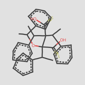 CC(OC(C(O)=S)(C(C)c1ccccc1)C(C(O)=S)(C(C)c1ccccc1)C(C)c1ccccc1)c1ccccc1